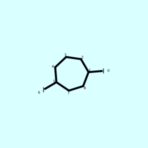 IC1CCCC(I)CC1